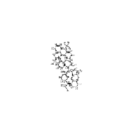 Cc1c(C)n(-c2c3ccccc3c(C(C)C)c3ccccc23)c2c1cc1ccc3c4c(ccc2c14)cc1c(C)c(C)n(-c2c4ccccc4c(C(C)(C)C)c4ccccc24)c13